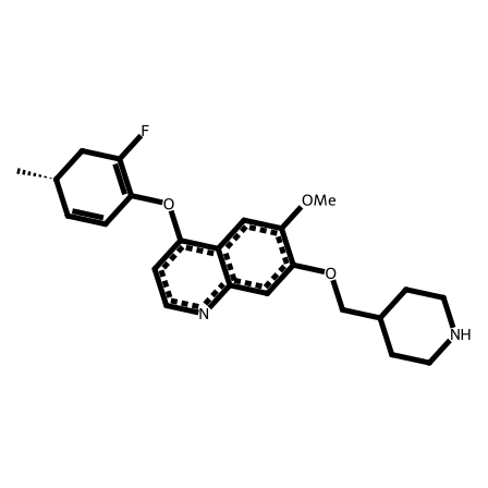 COc1cc2c(OC3=C(F)C[C@@H](C)C=C3)ccnc2cc1OCC1CCNCC1